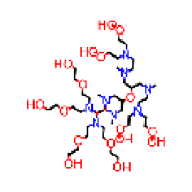 CN(CCN(CCOO)CCOO)CC(CN(C)CCN(CCOO)CCOO)OC(CN(C)CCN(CCOCCO)CCOCCO)CN(C)CCN(CCOCCO)CCOCCO